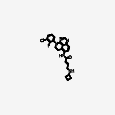 O=C(/C=C/CNC1CCC1)Nc1ccc2ncnc3c2c1CCN3c1cccc(Cl)c1F